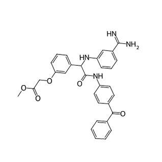 COC(=O)COc1cccc(C(Nc2cccc(C(=N)N)c2)C(=O)Nc2ccc(C(=O)c3ccccc3)cc2)c1